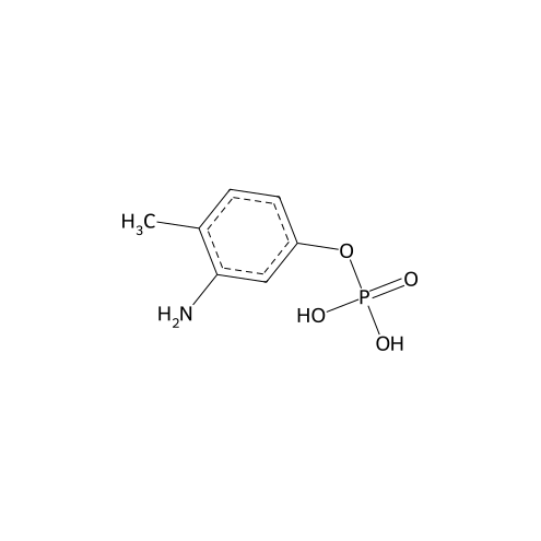 Cc1ccc(OP(=O)(O)O)cc1N